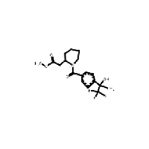 COC(=O)CC1CCCCN1C(=O)c1ccc(C(C)(O)C(F)(F)F)cc1